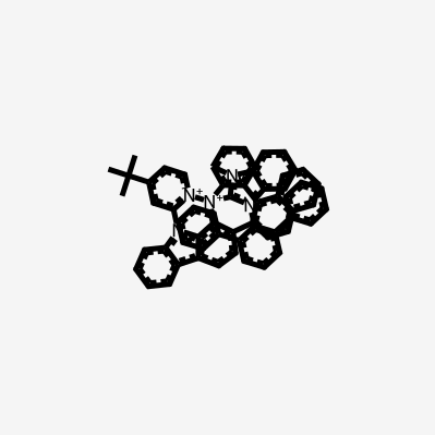 CC(C)(C)c1cc[n+]2c(c1)-n1c3ccccc3c3ccc4c(c31)[N+]21c2c(cccc2-n2c1[n+](-c1c(-c3ccccc3)cccc1-c1ccccc1)c1ccccc12)-c1c-4ccc2ccccc12